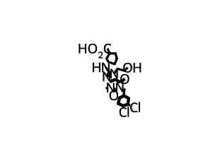 Cn1c(=O)n(Cc2ccc(Cl)c(Cl)c2)c(=O)c2c1nc(NC1CCCC(C(=O)O)C1)n2CCO